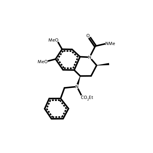 CCOC(=O)N(Cc1ccccc1)[C@@H]1C[C@H](C)N(C(=O)NC)c2cc(OC)c(OC)cc21